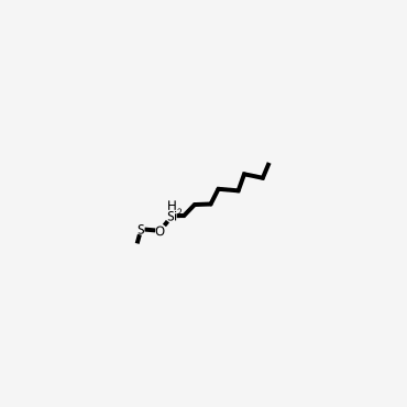 CCCCCCCC[SiH2]OSC